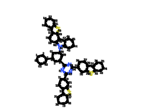 c1ccc(-c2cc(-c3nc(-c4ccc5c(c4)sc4ccccc45)nc(-c4ccc5c(c4)sc4ccccc45)n3)cc(-n3c4ccccc4c4c5sc6ccccc6c5ccc43)c2)cc1